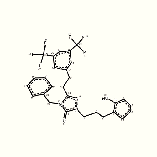 O=c1n(CCCc2ncccc2O)nc(CCc2cc(C(F)(F)F)cc(C(F)(F)F)c2)n1Cc1ccccc1